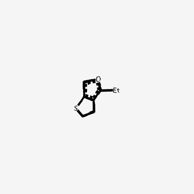 CCc1occ2c1CCS2